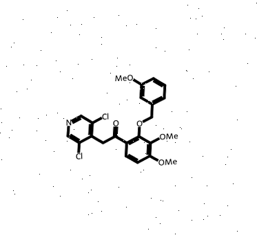 COc1cccc(COc2c(C(=O)Cc3c(Cl)cncc3Cl)ccc(OC)c2OC)c1